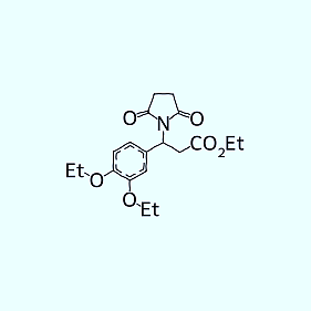 CCOC(=O)CC(c1ccc(OCC)c(OCC)c1)N1C(=O)CCC1=O